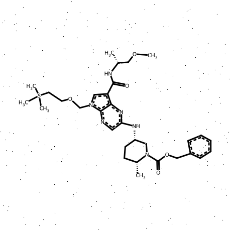 COC[C@@H](C)NC(=O)c1cn(COCCS(C)(C)C)c2ncc(N[C@H]3CC[C@@H](C)N(C(=O)OCc4ccccc4)C3)nc12